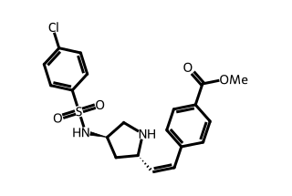 COC(=O)c1ccc(/C=C\[C@@H]2C[C@@H](NS(=O)(=O)c3ccc(Cl)cc3)CN2)cc1